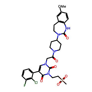 COc1ccc2c(c1)CCN(C1CCN(C(=O)Cn3cc(-c4cccc(F)c4Cl)c(=O)n(CCS(C)(=O)=O)c3=O)CC1)C(=O)N2